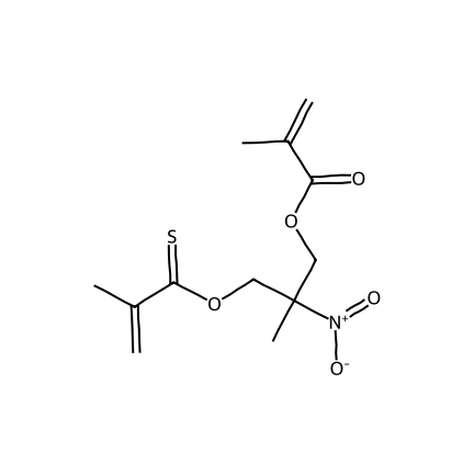 C=C(C)C(=O)OCC(C)(COC(=S)C(=C)C)[N+](=O)[O-]